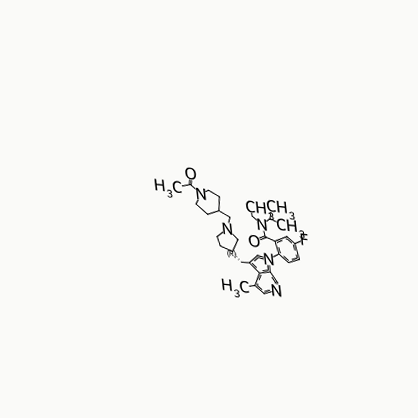 CCN(C(=O)c1cc(F)ccc1-n1cc(C[C@@H]2CCN(CC3CCN(C(C)=O)CC3)C2)c2c(C)cncc21)C(C)C